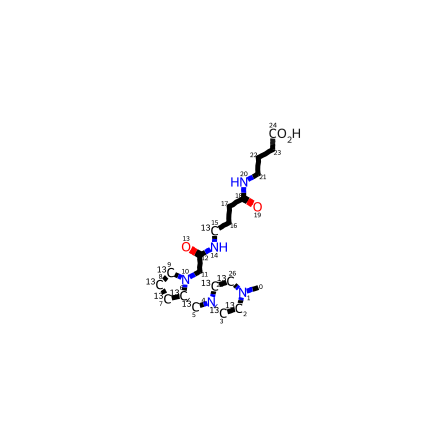 CN1[13CH2][13CH2]N([13CH2][13CH]2[13CH2][13CH2][13CH2]N2CC(=O)N[13CH2]CCC(=O)NCCCC(=O)O)[13CH2][13CH2]1